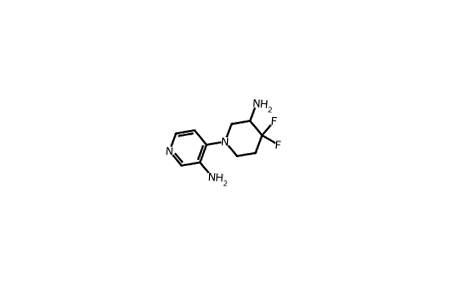 Nc1cnccc1N1CCC(F)(F)C(N)C1